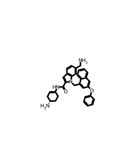 NCc1ccc2cc(C(=O)NC3=CC[C@@H](N)CC3)n(Cc3cc(Oc4ccccc4)cc4ccccc34)c2c1